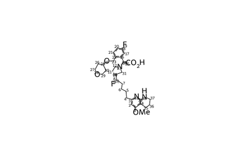 COc1cc(CCCC[C@H](F)[C@@H]2CCN([C@H](C(=O)O)c3cc(F)ccc3COC3CCOCC3)C2)nc2c1CCCN2